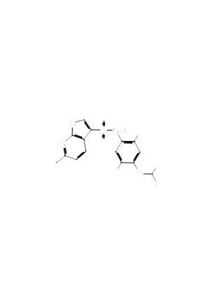 O=S(=O)(Nc1cc(F)c(OC(F)F)cc1F)c1c[nH]c2nc(Cl)ccc12